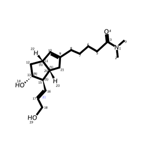 CN(C)C(=O)CCCCC1=C[C@H]2C[C@@H](O)[C@H](/C=C/CO)[C@H]2C1